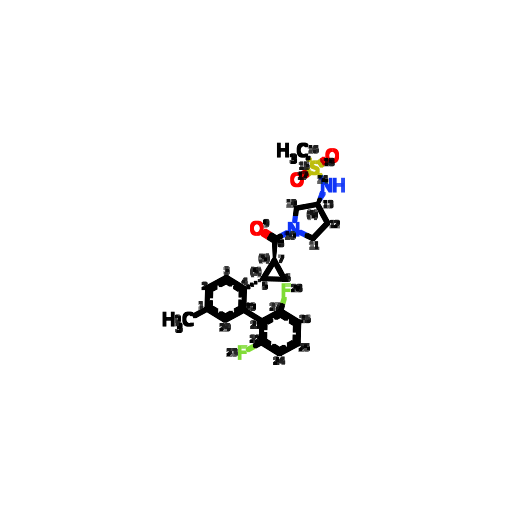 Cc1ccc([C@H]2C[C@@H]2C(=O)N2CC[C@H](NS(C)(=O)=O)C2)c(-c2c(F)cccc2F)c1